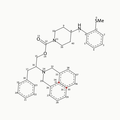 CSc1ccccc1NC1CCN(C(=O)OCC(Cc2ccccc2)N(Cc2ccccc2)Cc2ccccc2)CC1